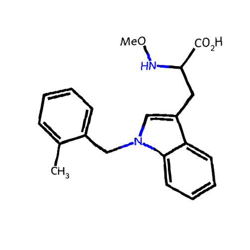 CONC(Cc1cn(Cc2ccccc2C)c2ccccc12)C(=O)O